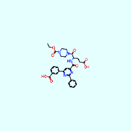 CCOC(=O)N1CCN(C(=O)C(CCC(=O)O)NC(=O)c2cc(-c3cccc(C(=O)O)c3)nc(-c3ccccc3)n2)CC1